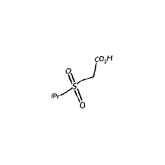 CC(C)S(=O)(=O)CC(=O)O